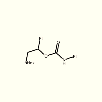 CCCCCCCC(CC)OC(=O)NCC